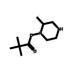 CC1CNCCN1OC(=O)C(C)(C)C